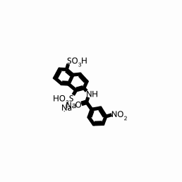 O=C(Nc1ccc2c(S(=O)(=O)O)cccc2c1S(=O)(=O)O)c1cccc([N+](=O)[O-])c1.[Na].[Na]